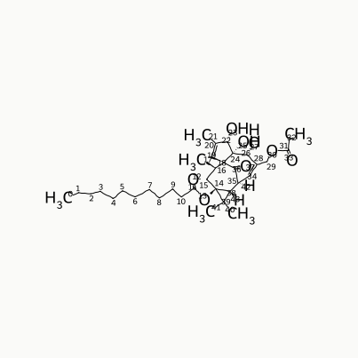 CCCCCCCCCCCC(=O)O[C@@]12C[C@@H](C)[C@]34C=C(C)[C@H](O)[C@@]3(O)[C@H](O)C(COC(C)=O)=C[C@H](C4=O)[C@@H]1C2(C)C